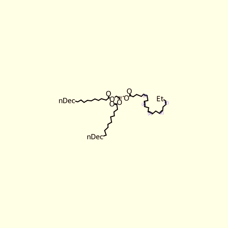 CC/C=C\C/C=C\C/C=C\C/C=C\C/C=C\CCCC(=O)OC[C@@H](COC(=O)CCCCCCCCCCCCCCCCCCC)OC(=O)CCCCCCCCCCCCCCCCCCC